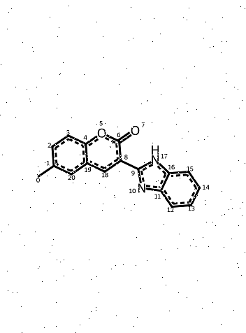 Cc1ccc2oc(=O)c(-c3nc4ccccc4[nH]3)cc2c1